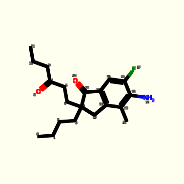 CCCCC1(CCC(=O)CCC)Cc2c(cc(F)c(N)c2C)C1=O